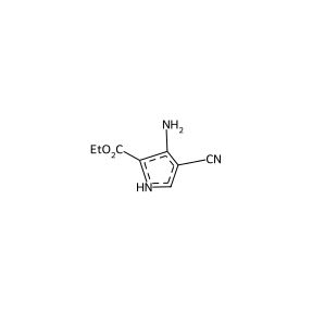 CCOC(=O)c1[nH]cc(C#N)c1N